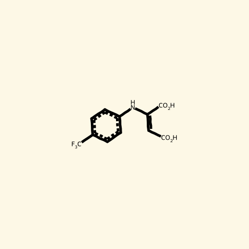 O=C(O)C=C(Nc1ccc(C(F)(F)F)cc1)C(=O)O